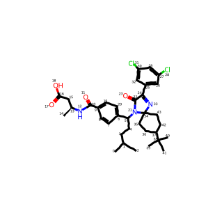 CC(C)CCC(c1ccc(C(=O)N[C@@H](C)CC(=O)O)cc1)N1C(=O)C(c2cc(Cl)cc(Cl)c2)=NC12CCC(C(C)(C)C)CC2